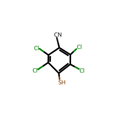 N#Cc1c(Cl)c(Cl)c(S)c(Cl)c1Cl